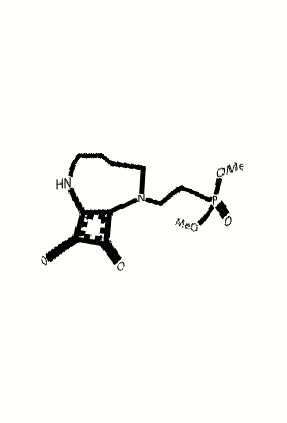 COP(=O)(CCN1CCCNc2c1c(=O)c2=O)OC